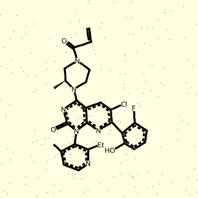 C=CC(=O)N1CCN(c2nc(=O)n(-c3c(C)ccnc3CC)c3nc(-c4c(O)cccc4F)c(Cl)cc23)[C@@H](C)C1